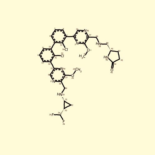 COc1nc(-c2cccc(-c3cccc(-c4cnc(CN[C@@H]5C[C@@H]5C(F)F)c(OC)n4)c3Cl)c2Cl)cnc1CNC[C@@H]1CCC(=O)N1